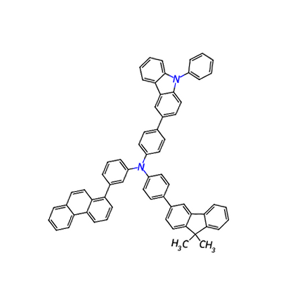 CC1(C)c2ccccc2-c2cc(-c3ccc(N(c4ccc(-c5ccc6c(c5)c5ccccc5n6-c5ccccc5)cc4)c4cccc(-c5cccc6c5ccc5ccccc56)c4)cc3)ccc21